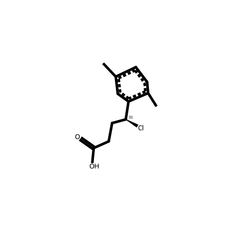 Cc1ccc(C)c([C@@H](Cl)CCC(=O)O)c1